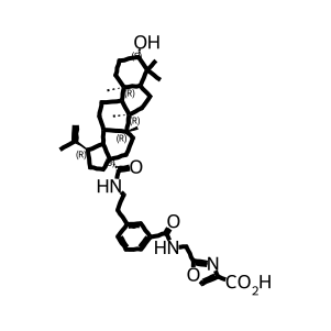 C=C(C)[C@@H]1CC[C@]2(C(=O)NCCc3cccc(C(=O)NCc4nc(C(=O)O)co4)c3)CC[C@]3(C)C(CCC4[C@@]5(C)CC[C@H](O)C(C)(C)C5CC[C@]43C)C12